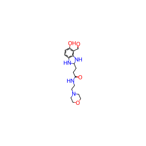 O=Cc1c(O)ccc2c1NC(CCC(=O)NCCN1CCOCC1)N2